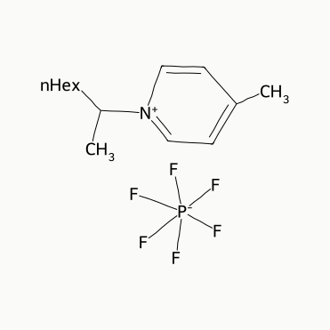 CCCCCCC(C)[n+]1ccc(C)cc1.F[P-](F)(F)(F)(F)F